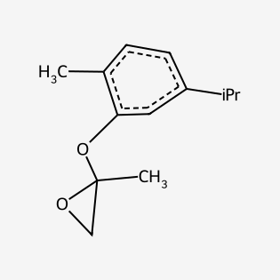 Cc1ccc(C(C)C)cc1OC1(C)CO1